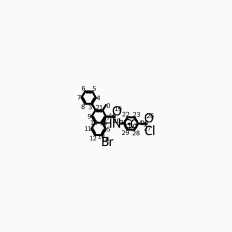 Cc1c(-c2ccccc2)cc2ccc(Br)cc2c1C(=O)NC12CCC(C(=O)Cl)(CC1)CC2